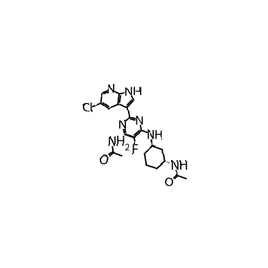 CC(=O)N[C@@H]1CCC[C@@H](Nc2nc(-c3c[nH]c4ncc(Cl)cc34)ncc2F)C1.CC(N)=O